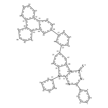 S=c1nc(-c2ccccc2)nc2n(-c3ccccc3)c3ccc(-c4cccc(-c5ccc6c7ccccc7c7ccccc7c6c5)c4)cc3n12